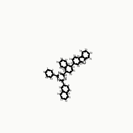 c1ccc(-c2nc(-c3ccc4ccccc4c3)nc(-c3ccc(-c4ccc5c(c4)oc4ccccc45)c4ccccc34)n2)cc1